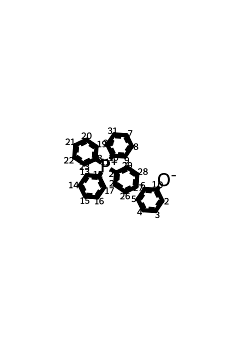 [O-]c1ccccc1.c1ccc([P+](c2ccccc2)(c2ccccc2)c2ccccc2)cc1